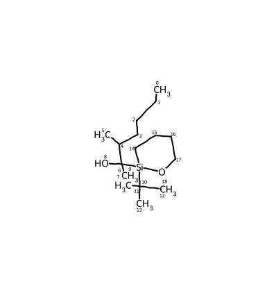 CCCCC(C)C(C)(O)[Si]1(C(C)(C)C)CCCCO1